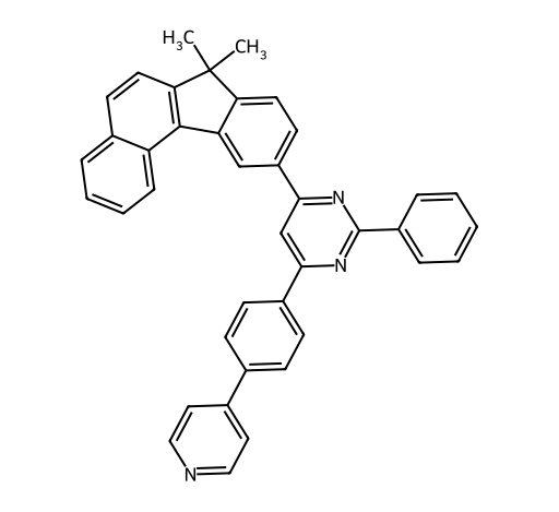 CC1(C)c2ccc(-c3cc(-c4ccc(-c5ccncc5)cc4)nc(-c4ccccc4)n3)cc2-c2c1ccc1ccccc21